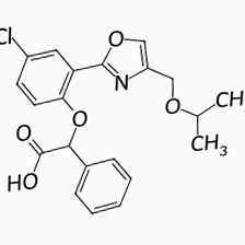 CC(C)OCc1coc(-c2cc(Cl)ccc2OC(C(=O)O)c2ccccc2)n1